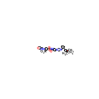 CC1C2CC(C=C2c2ccccc2CN2CCN(c3ccc(C(=O)NS(=O)(=O)c4ccc(NCC5CCOCC5)c([N+](=O)[O-])c4)cc3)CC2)C1(C)C